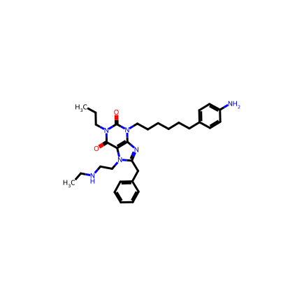 CCCn1c(=O)c2c(nc(Cc3ccccc3)n2CCNCC)n(CCCCCCc2ccc(N)cc2)c1=O